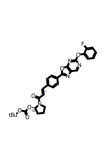 CC(C)(C)OC(=O)O[C@H]1CCCN1C(=O)/C=C/c1ccc(-c2nc3cnc(Oc4ccccc4F)nc3o2)cc1